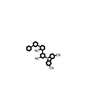 N#Cc1cc(-c2cccc(-c3cccc(-c4ccccc4)c3)c2C#N)cc(-n2c3ccc(C#N)cc3c3cc(C#N)ccc32)c1